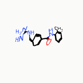 Cc1ccccc1NC(=O)c1ccc(CNC(=N)N)cc1